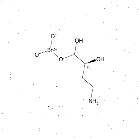 NCC[C@H](O)C(O)O[Br+2]([O-])[O-]